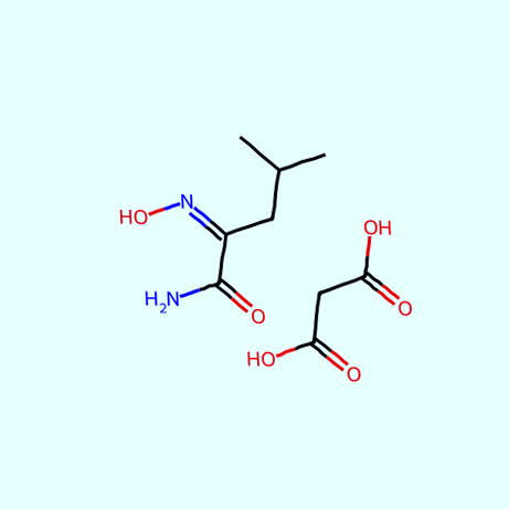 CC(C)CC(=NO)C(N)=O.O=C(O)CC(=O)O